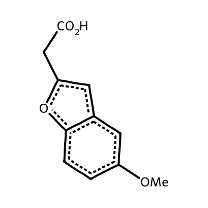 COc1ccc2oc(CC(=O)O)cc2c1